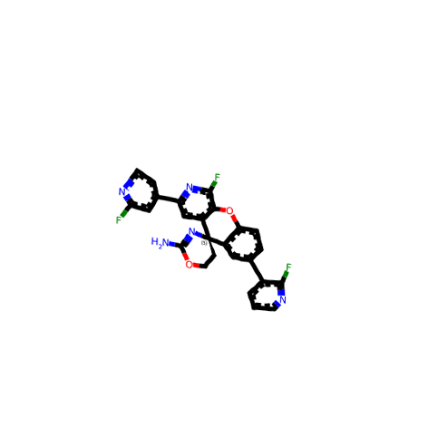 NC1=N[C@@]2(CCO1)c1cc(-c3cccnc3F)ccc1Oc1c2cc(-c2ccnc(F)c2)nc1F